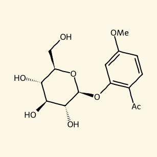 COc1ccc(C(C)=O)c(O[C@@H]2O[C@H](CO)[C@@H](O)[C@H](O)[C@H]2O)c1